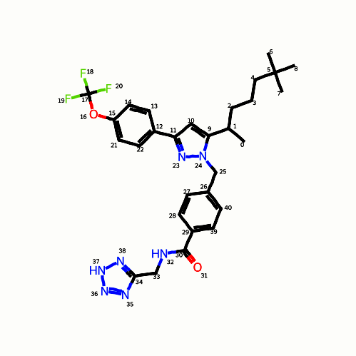 CC(CCCC(C)(C)C)c1cc(-c2ccc(OC(F)(F)F)cc2)nn1Cc1ccc(C(=O)NCc2nn[nH]n2)cc1